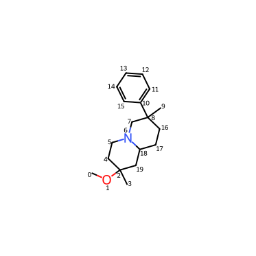 COC1(C)CCN2CC(C)(c3ccccc3)CCC2C1